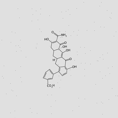 NC(=O)C1=C(O)CC2C[C@@H]3Cc4c(-c5cccc(C(=O)O)c5)ccc(O)c4C(=O)C3=C(O)[C@]2(O)C1=O